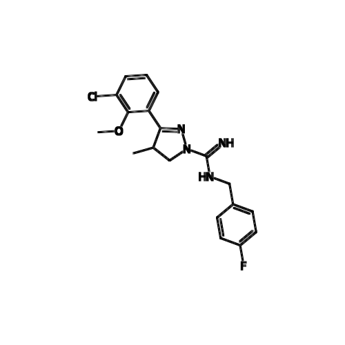 COc1c(Cl)cccc1C1=NN(C(=N)NCc2ccc(F)cc2)CC1C